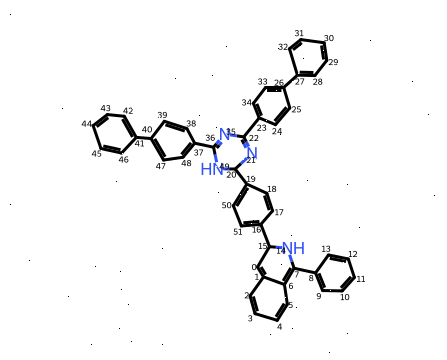 C1=c2ccccc2=C(c2ccccc2)NC1c1ccc(C2N=C(c3ccc(-c4ccccc4)cc3)N=C(c3ccc(-c4ccccc4)cc3)N2)cc1